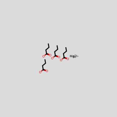 CCCC(=O)[O-].CCCC(=O)[O-].CCCC(=O)[O-].CCCC(=O)[O-].[Fe+2].[Mg+2]